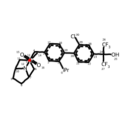 CC(C)c1cc(CN2CC3CCC(C2)N3S(C)(=O)=O)ccc1-c1ccc(C(O)(C(F)(F)F)C(F)(F)F)cc1Cl